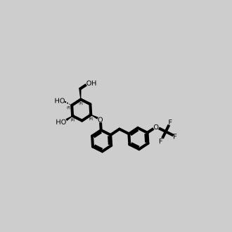 OC[C@H]1C[C@@H](Oc2ccccc2Cc2cccc(OC(F)(F)F)c2)C[C@@H](O)[C@@H]1O